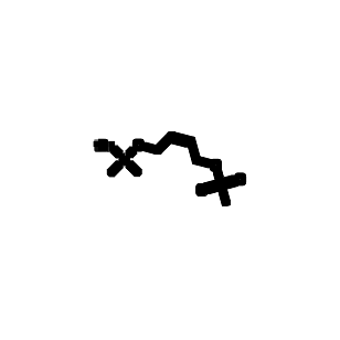 CC(C)(C)[Si](C)(C)OC/C=C\COS(C)(=O)=O